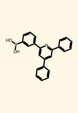 OB(O)c1cccc(-c2cc(-c3ccccc3)cc(-c3ccccc3)n2)c1